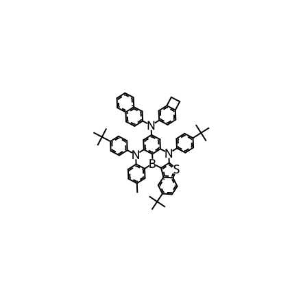 Cc1ccc2c(c1)B1c3c(cc(N(c4ccc5c(c4)CC5)c4ccc5ccccc5c4)cc3N(c3ccc(C(C)(C)C)cc3)c3sc4ccc(C(C)(C)C)cc4c31)N2c1ccc(C(C)(C)C)cc1